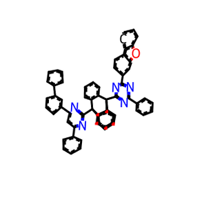 c1ccc(-c2cccc(-c3cc(-c4ccccc4)nc(C45c6ccccc6C(c6nc(-c7ccccc7)nc(-c7ccc8c(c7)oc7ccccc78)n6)(c6ccccc64)c4ccccc45)n3)c2)cc1